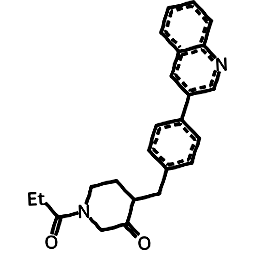 CCC(=O)N1CCC(Cc2ccc(-c3cnc4ccccc4c3)cc2)C(=O)C1